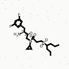 CCCC(CCC)S(=O)(=O)CCC(=O)N(C[C@@H](O)[C@@H](N)Cc1cc(F)cc(F)c1)C1CC1